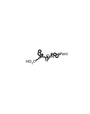 CCCCC[n+]1cccc2c3c(ccc21)C(C)(C)C(/C=C/C1=C(Cl)C(=C/C=C2/[N+](CCCCCC(=O)O)=C4C=Cc5ccccc5C4C2(C)C)/CN(C)C1)=N3